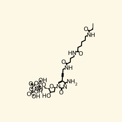 Nc1nc(=O)n([C@H]2CC(O)[C@@H](COP(=O)(O)OP(=O)(O)OP(=O)(O)O)O2)cc1C#CCNC(=O)CCCNC(=O)CCCCCNC(=O)CI